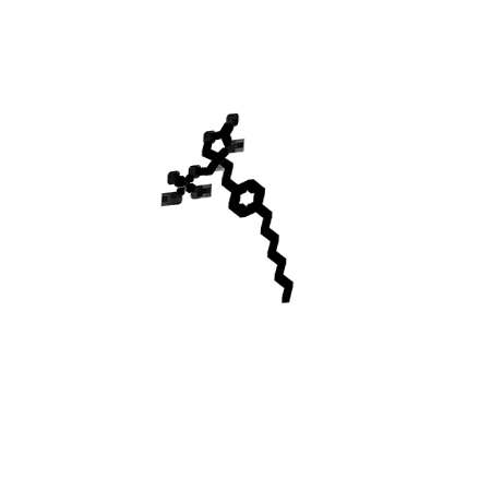 CCCCCCCCc1ccc(CC[C@@]2(COP(=O)(O)O)COC(=O)N2)cc1